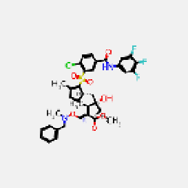 CC[C@](O)(C[C@@H]1CCC(C)C1S(=O)(=O)c1cc(C(=O)Nc2cc(F)c(F)c(F)c2)ccc1Cl)C(C)/C(=C\ON(C)Cc1ccccc1)C(=O)OC